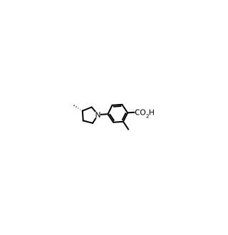 Cc1cc(N2CC[C@H](C)C2)ccc1C(=O)O